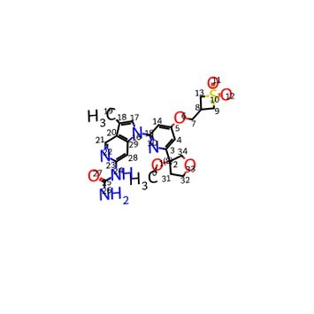 CO[C@]1(c2cc(OCC3CS(=O)(=O)C3)cc(-n3cc(C)c4cnc(NC(N)=O)cc43)n2)CCOC1